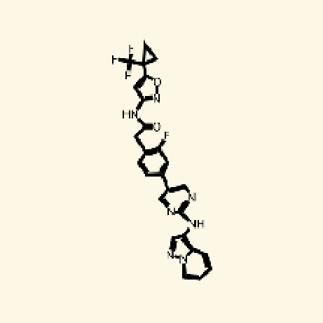 O=C(Cc1ccc(-c2cnc(Nc3cnn4ccccc34)nc2)cc1F)Nc1cc(C2(C(F)(F)F)CC2)on1